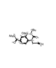 C#CCN(C(=O)OC(C)(C)C)c1cnc(C(=O)NC)cc1OC